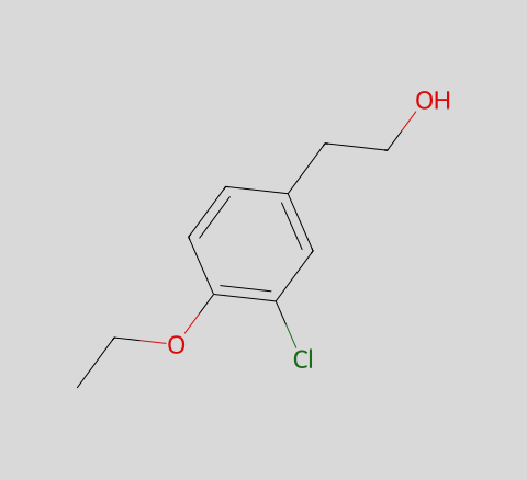 CCOc1ccc(CCO)cc1Cl